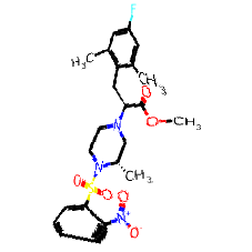 COC(=O)[C@H](Cc1c(C)cc(F)cc1C)N1CCN(S(=O)(=O)c2ccccc2[N+](=O)[O-])[C@@H](C)C1